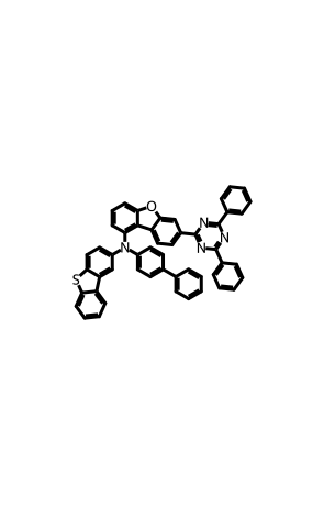 c1ccc(-c2ccc(N(c3ccc4sc5ccccc5c4c3)c3cccc4oc5cc(-c6nc(-c7ccccc7)nc(-c7ccccc7)n6)ccc5c34)cc2)cc1